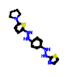 c1csc(NNc2ccc(NNc3ccc(N4CCCC4)s3)cc2)n1